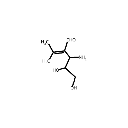 CC(C)=C([C]=O)C(N)C(O)CO